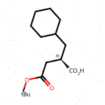 CC(C)(C)OC(=O)C[C@@H](CC1CCCCC1)C(=O)O